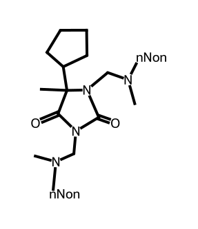 CCCCCCCCCN(C)CN1C(=O)N(CN(C)CCCCCCCCC)C(C)(C2CCCC2)C1=O